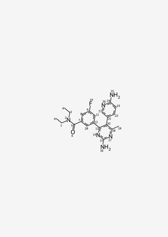 CCN(CC)C(=O)c1cc(F)cc(-c2nc(N)nc(C)c2-c2ccc(N)nc2)c1